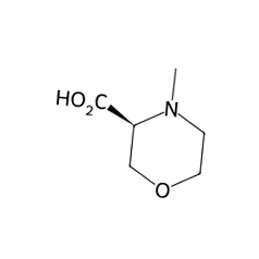 CN1CCOC[C@H]1C(=O)O